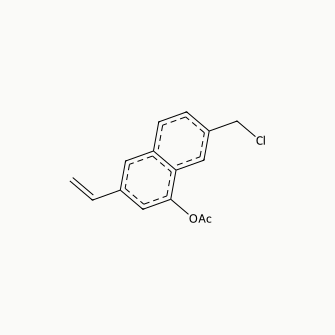 C=Cc1cc(OC(C)=O)c2cc(CCl)ccc2c1